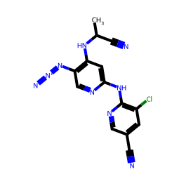 CC(C#N)Nc1cc(Nc2ncc(C#N)cc2Cl)ncc1N=[N+]=[N-]